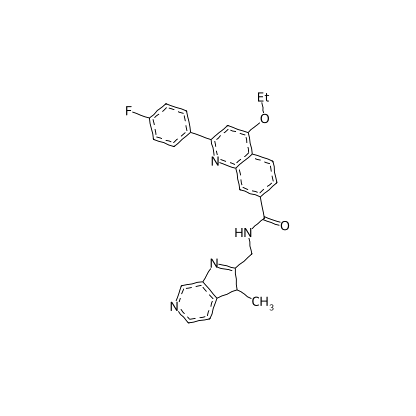 CCOc1cc(-c2ccc(F)cc2)nc2cc(C(=O)NCC3=Nc4cnccc4C3C)ccc12